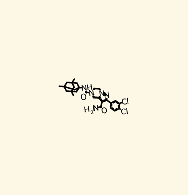 CC12CC3(C)CC(C)(C1)CC(NC(=O)N1CCn4nc(-c5ccc(Cl)c(Cl)c5)c(C(N)=O)c4C1)(C2)C3